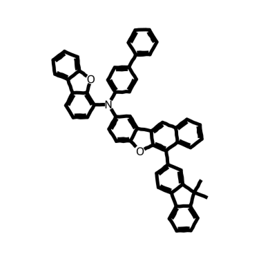 CC1(C)c2ccccc2-c2ccc(-c3c4ccccc4cc4c3oc3ccc(N(c5ccc(-c6ccccc6)cc5)c5cccc6c5oc5ccccc56)cc34)cc21